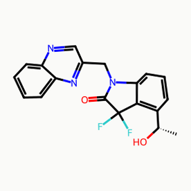 C[C@H](O)c1cccc2c1C(F)(F)C(=O)N2Cc1cnc2ccccc2n1